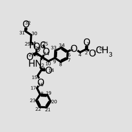 COC(=O)COc1ccc(CC(NC(=O)COCc2ccccc2)(OC)C(=O)OCCC=O)cc1